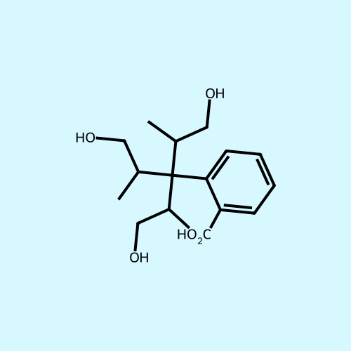 CC(CO)C(c1ccccc1C(=O)O)(C(C)CO)C(C)CO